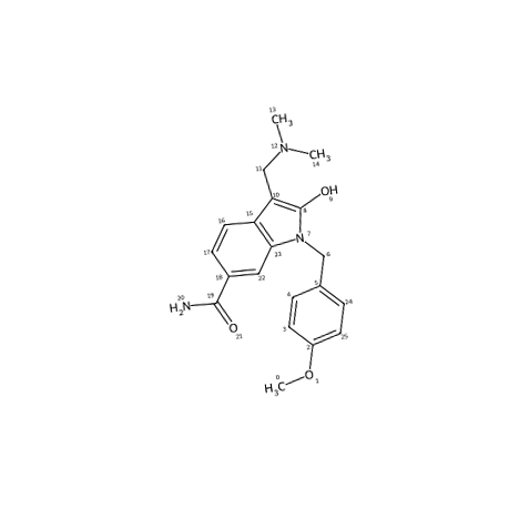 COc1ccc(Cn2c(O)c(CN(C)C)c3ccc(C(N)=O)cc32)cc1